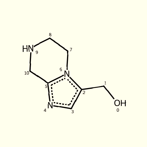 OCc1cnc2n1CCNC2